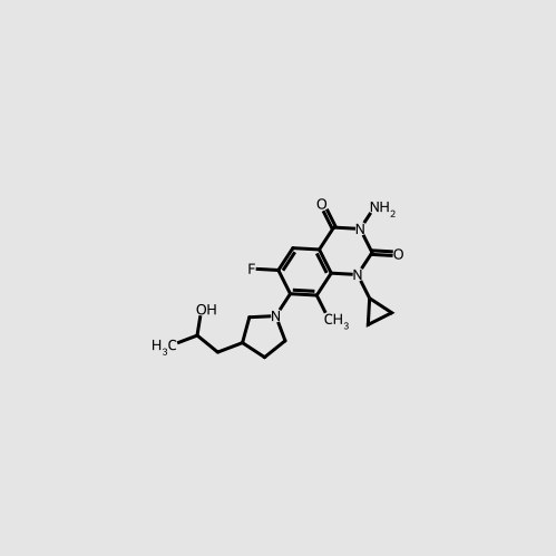 Cc1c(N2CCC(CC(C)O)C2)c(F)cc2c(=O)n(N)c(=O)n(C3CC3)c12